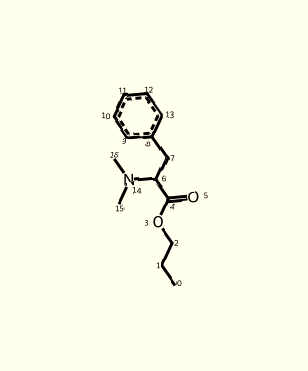 CCCOC(=O)C(Cc1ccccc1)N(C)C